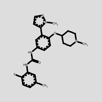 Cc1ccc(F)c(NC(=O)Nc2ccc(OC3CCN(C)CC3)c(-c3ccnn3C)c2)c1